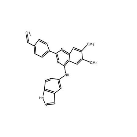 C=Cc1ccc(-c2nc(Nc3ccc4[nH]ncc4c3)c3cc(OC)c(OC)cc3n2)cc1